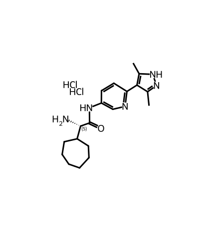 Cc1n[nH]c(C)c1-c1ccc(NC(=O)[C@@H](N)C2CCCCCC2)cn1.Cl.Cl